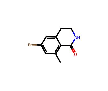 Cc1cc(Br)cc2c1C(=O)NCC2